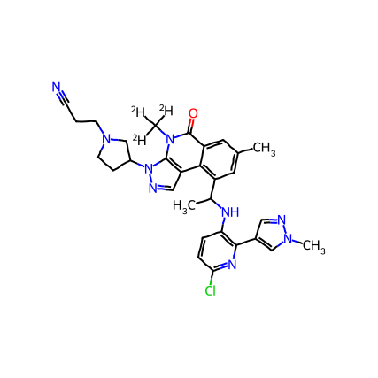 [2H]C([2H])([2H])n1c(=O)c2cc(C)cc(C(C)Nc3ccc(Cl)nc3-c3cnn(C)c3)c2c2cnn(C3CCN(CCC#N)C3)c21